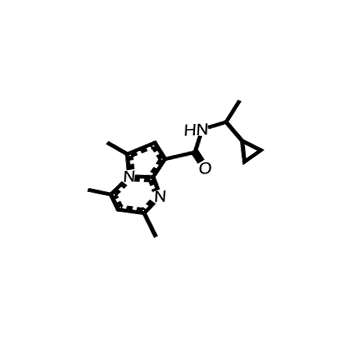 Cc1cc(C)n2c(C)cc(C(=O)NC(C)C3CC3)c2n1